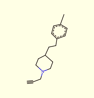 C#CCN1CCC(CCc2ccc(C)cc2)CC1